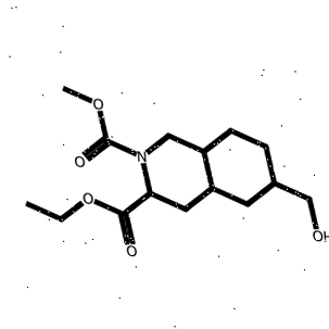 CCOC(=O)C1CC2CC(CO)CCC2CN1C(=O)OC